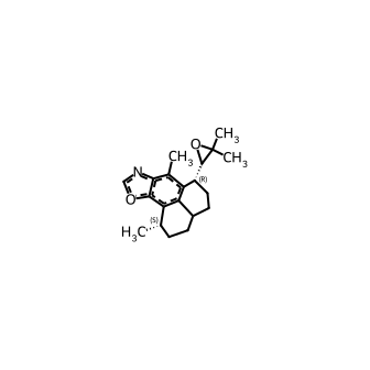 Cc1c2c3c(c4ocnc14)[C@@H](C)CCC3CC[C@H]2C1OC1(C)C